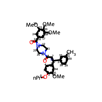 CCCOc1ccc(/C(=C\C(=O)N2CCN(C(=O)c3cc(OC)c(OC)c(OC)c3)CC2)c2cccc(C)c2)cc1OC